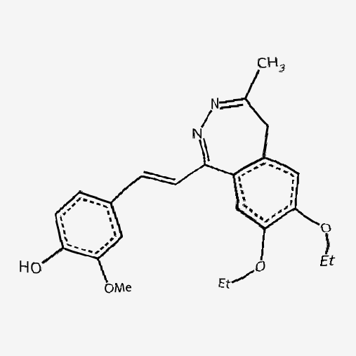 CCOc1cc2c(cc1OCC)C(C=Cc1ccc(O)c(OC)c1)=NN=C(C)C2